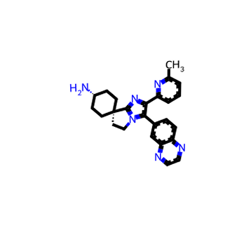 Cc1cccc(-c2nc3n(c2-c2ccc4nccnc4c2)CC[C@]32CC[C@@H](N)CC2)n1